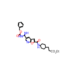 CCOC(=O)CCC1CCC(NC(=O)c2cc3cc(C(=N)NC(=O)OCc4ccccc4)cnc3o2)CC1